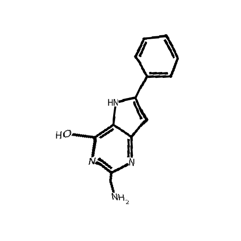 Nc1nc(O)c2[nH]c(-c3ccccc3)cc2n1